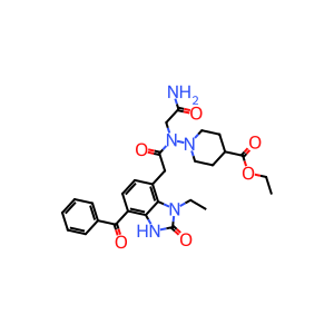 CCOC(=O)C1CCN(N(CC(N)=O)C(=O)Cc2ccc(C(=O)c3ccccc3)c3[nH]c(=O)n(CC)c23)CC1